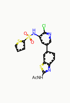 CC(=O)Nc1nc2ccc(-c3cnc(Cl)c(NS(=O)(=O)c4cccs4)c3)cc2s1